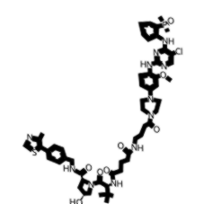 COc1cc(N2CCN(C(=O)CCCNC(=O)CCCC(=O)N[C@H](C(=O)N3C[C@H](O)C[C@H]3C(=O)NCc3ccc(-c4scnc4C)cc3)C(C)(C)C)CC2)ccc1Nc1ncc(Cl)c(Nc2ccccc2P(C)(C)=O)n1